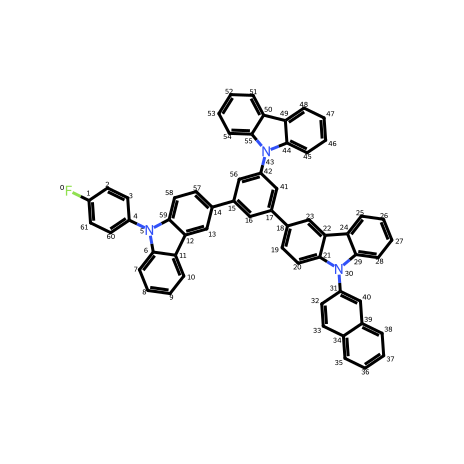 Fc1ccc(-n2c3ccccc3c3cc(-c4cc(-c5ccc6c(c5)c5ccccc5n6-c5ccc6ccccc6c5)cc(-n5c6ccccc6c6ccccc65)c4)ccc32)cc1